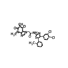 Cc1ccccc1-c1sc(NC(=O)Cn2cnc3c2c(=O)n(C)c(=O)n3C)nc1-c1ccc(Cl)c(Cl)c1